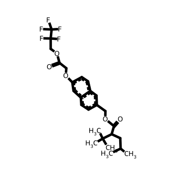 CC(C)CC(C(=O)OCc1ccc2cc(OCC(=O)OCC(F)(F)C(F)(F)F)ccc2c1)C(C)(C)C